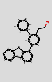 OCCc1ccc(-c2cccc3c2Cc2ccccc2-3)cc1-c1ccccc1